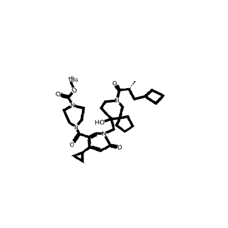 C[C@H](CC1CCC1)C(=O)N1CCC(O)(Cn2cc(C(=O)N3CCN(C(=O)OC(C)(C)C)CC3)c(C3CC3)cc2=O)C2(CCCC2)C1